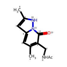 CC(=O)NCc1c(C)cc2cc(C)[nH]n2c1=O